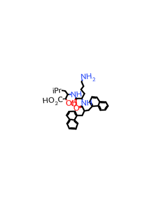 CC(C)CC(NC(=O)C(CCCCN)NC(=O)C(Cc1cccc2ccccc12)Cc1cccc2ccccc12)[C@@H](O)C(=O)O